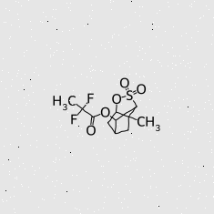 CC(F)(F)C(=O)OC1C2CC3OS(=O)(=O)C1C3(C)C2